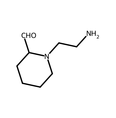 NCCN1CCCCC1C=O